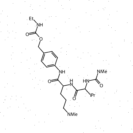 CCNC(=O)OCc1ccc(NC(=O)C(CCCNC)NC(=O)C(NC(=O)NC)C(C)C)cc1